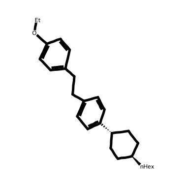 CCCCCC[C@H]1CC[C@H](c2ccc(CCc3ccc(OCC)cc3)cc2)CC1